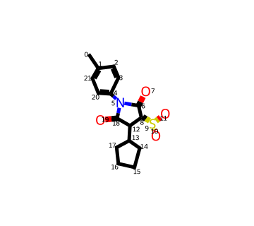 Cc1ccc(N2C(=O)C(=S(=O)=O)C(C3CCCC3)C2=O)cc1